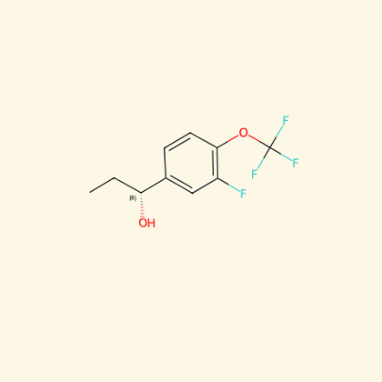 CC[C@@H](O)c1ccc(OC(F)(F)F)c(F)c1